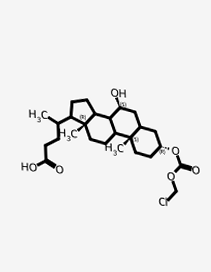 CC(CCC(=O)O)C1CCC2C3C(CC[C@]12C)[C@@]1(C)CC[C@@H](OC(=O)OCCl)CC1C[C@@H]3O